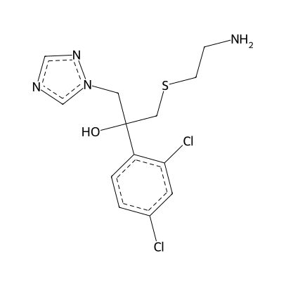 NCCSCC(O)(Cn1cncn1)c1ccc(Cl)cc1Cl